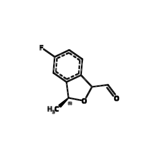 C[C@@H]1OC(C=O)c2ccc(F)cc21